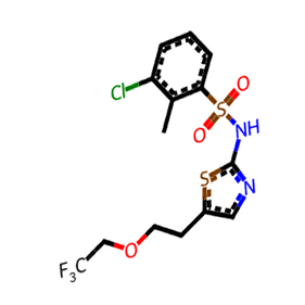 Cc1c(Cl)cccc1S(=O)(=O)Nc1ncc(CCOCC(F)(F)F)s1